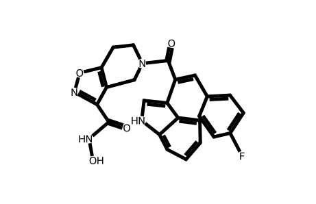 O=C(NO)c1noc2c1CN(C(=O)/C(=C/c1ccc(F)cc1)c1c[nH]c3ccccc13)CC2